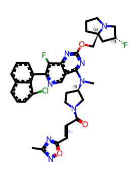 Cc1noc(/C=C/C(=O)N2CC[C@@H](N(C)c3nc(OC[C@@]45CCCN4C[C@H](F)C5)nc4c(F)c(-c5cccc6cccc(Cl)c56)ncc34)C2)n1